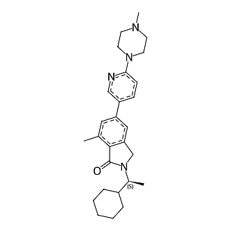 Cc1cc(-c2ccc(N3CCN(C)CC3)nc2)cc2c1C(=O)N([C@@H](C)C1CCCCC1)C2